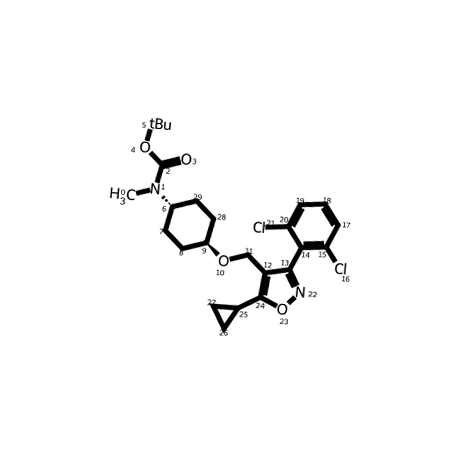 CN(C(=O)OC(C)(C)C)[C@H]1CC[C@H](OCc2c(-c3c(Cl)cccc3Cl)noc2C2CC2)CC1